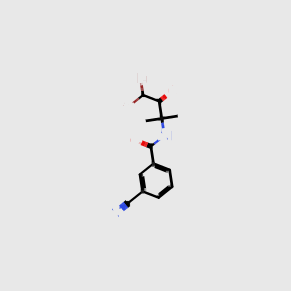 CC(C)(NC(=O)c1cccc(C#N)c1)C(=O)C(Br)Br